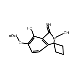 CCCCCCCCOc1ccc2c(c1O)C(=N)N(O)C21CCC1